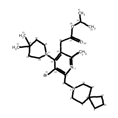 Cc1nc(CN2CCC3(CCC3)CC2)c(Br)c(N2CCC(C)(C)CC2)c1CC(=O)OC(C)C